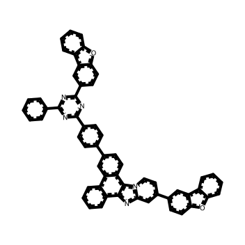 c1ccc(-c2nc(-c3ccc(-c4ccc5c(c4)c4ccccc4c4nc6cc(-c7ccc8oc9ccccc9c8c7)ccn6c54)cc3)nc(-c3ccc4oc5ccccc5c4c3)n2)cc1